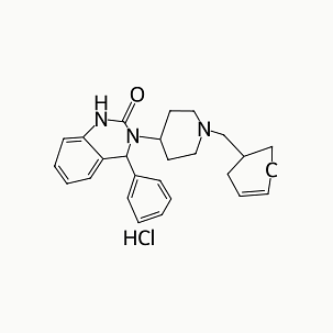 Cl.O=C1Nc2ccccc2C(c2ccccc2)N1C1CCN(CC2CC=CCC2)CC1